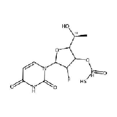 C[C@H](O)C1OC(n2ccc(=O)[nH]c2=O)C(F)C1O[PH](=O)S